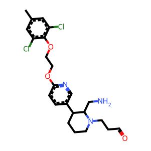 Cc1cc(Cl)c(OCCOc2ccc(C3CCCN(CCC=O)C3CN)cn2)c(Cl)c1